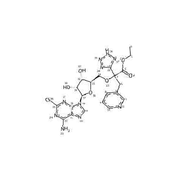 CCOC(=O)C(Cc1cccnc1)(OC[C@H]1O[C@@H](n2cnc3c(N)nc(Cl)nc32)[C@H](O)[C@@H]1O)c1nn[nH]n1